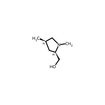 C[C@@H]1C[C@H](CO)N(C)C1